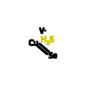 S.[Cu]=[Se].[V]